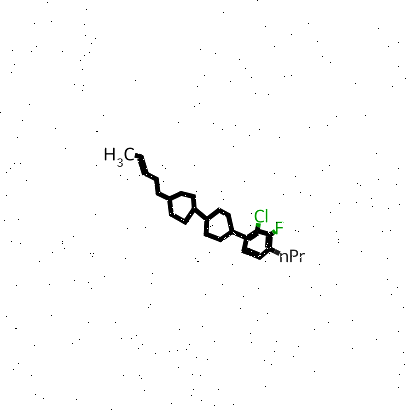 C/C=C/CCC1CCC(C2CCC(c3ccc(CCC)c(F)c3Cl)CC2)CC1